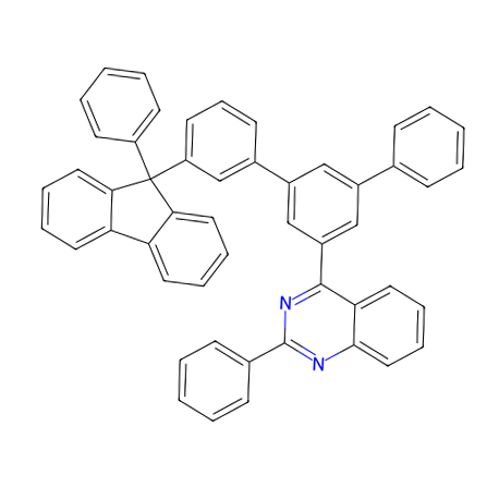 c1ccc(-c2cc(-c3cccc(C4(c5ccccc5)c5ccccc5-c5ccccc54)c3)cc(-c3nc(-c4ccccc4)nc4ccccc34)c2)cc1